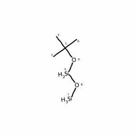 CC(C)(C)O[SiH2]O[SiH3]